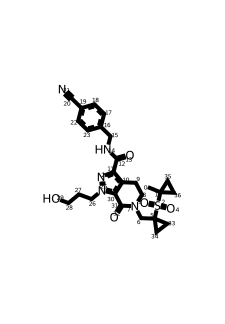 CC1(S(=O)(=O)C2(CN3CCc4c(C(=O)NCc5ccc(C#N)cc5)nn(CCCO)c4C3=O)CC2)CC1